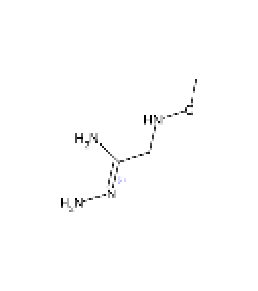 CONC/C(N)=N/N